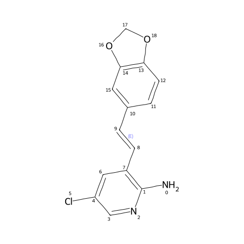 Nc1ncc(Cl)cc1/C=C/c1ccc2c(c1)OCO2